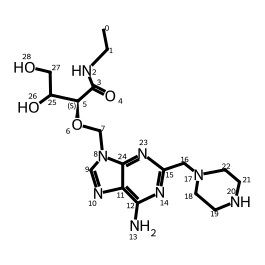 CCNC(=O)[C@@H](OCn1cnc2c(N)nc(CN3CCNCC3)nc21)C(O)CO